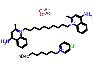 CC(=O)[O-].CC(=O)[O-].CCCCCCCCCCCCCCCC[n+]1ccccc1.Cc1cc(N)c2ccccc2[n+]1CCCCCCCCCC[n+]1c(C)cc(N)c2ccccc21.[Cl-]